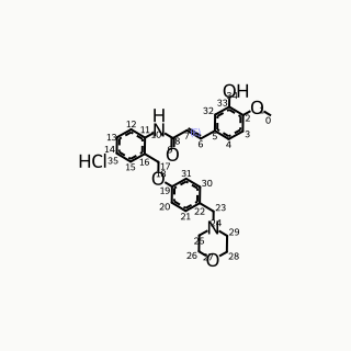 COc1ccc(/C=C/C(=O)Nc2ccccc2COc2ccc(CN3CCOCC3)cc2)cc1O.Cl